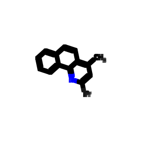 Cc1cc(C(C)C)nc2c1ccc1ccccc12